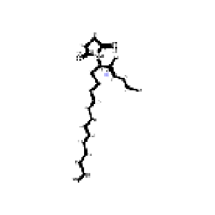 CCC/C=C(\C)C(CCCCCCCCCCCCC)N1C(=O)CCC1=O